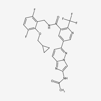 CC(=O)Nc1cn2nc(-c3cnc(C(F)(F)F)c(C(=O)NCc4c(F)ccc(F)c4OCC4CC4)c3)ccc2n1